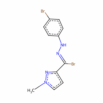 Cn1ccc(C(Br)=NNc2ccc(Br)cc2)n1